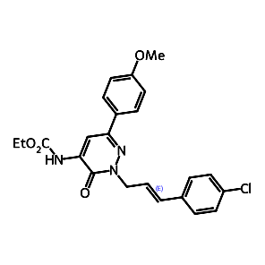 CCOC(=O)Nc1cc(-c2ccc(OC)cc2)nn(C/C=C/c2ccc(Cl)cc2)c1=O